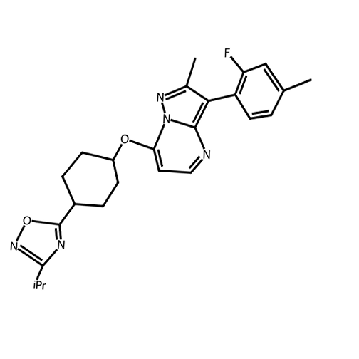 Cc1ccc(-c2c(C)nn3c(OC4CCC(c5nc(C(C)C)no5)CC4)ccnc23)c(F)c1